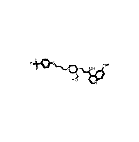 COc1ccc2nccc(C(O)CC[C@@H]3CCN(CCCSc4ccc(C(F)(F)F)cc4)C[C@@H]3CO)c2c1